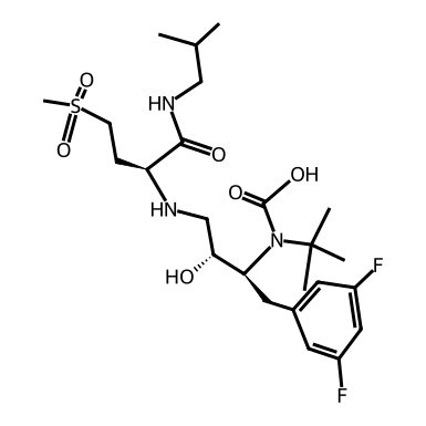 CC(C)CNC(=O)[C@H](CCS(C)(=O)=O)NC[C@@H](O)[C@H](Cc1cc(F)cc(F)c1)N(C(=O)O)C(C)(C)C